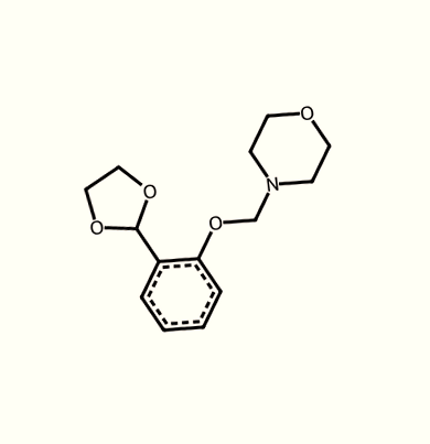 c1ccc(C2OCCO2)c(OCN2CCOCC2)c1